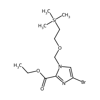 CCOC(=O)c1nc(Br)cn1COCC[Si](C)(C)C